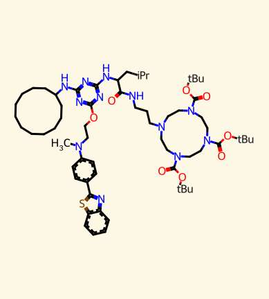 CC(C)CC(Nc1nc(NC2CCCCCCCCCCC2)nc(OCCN(C)c2ccc(-c3nc4ccccc4s3)cc2)n1)C(=O)NCCCN1CCN(C(=O)OC(C)(C)C)CCN(C(=O)OC(C)(C)C)CCN(C(=O)OC(C)(C)C)CC1